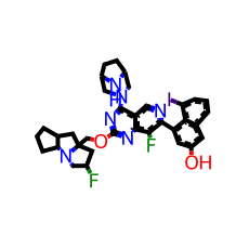 Oc1cc(-c2ncc3c(N4CC5CCC(C4)N5)nc(OCC45CC(F)CN4C4CCCC4C5)nc3c2F)c2c(I)cccc2c1